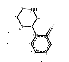 O=c1ccccn1C1CNCC[N]1